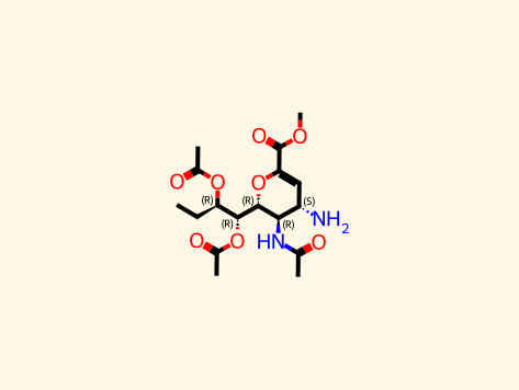 CC[C@@H](OC(C)=O)[C@@H](OC(C)=O)[C@@H]1OC(C(=O)OC)=C[C@H](N)[C@H]1NC(C)=O